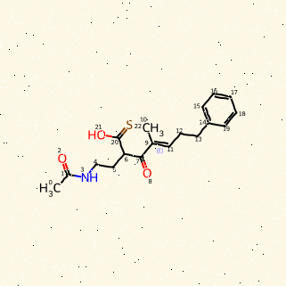 CC(=O)NCCC(C(=O)/C(C)=C/CCc1ccccc1)C(O)=S